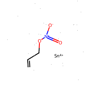 C=CCO[N+](=O)[O-].[Sn+4]